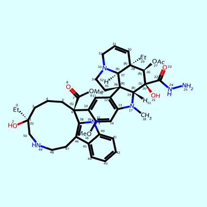 CC[C@]1(O)CCC[C@](C(=O)OC)(c2cc3c(cc2OC)N(C)[C@H]2[C@@](O)(C(=O)NN)[C@H](OC(C)=O)[C@]4(CC)C=CCN5CC[C@]32[C@@H]54)c2[nH]c3ccccc3c2CCNC1